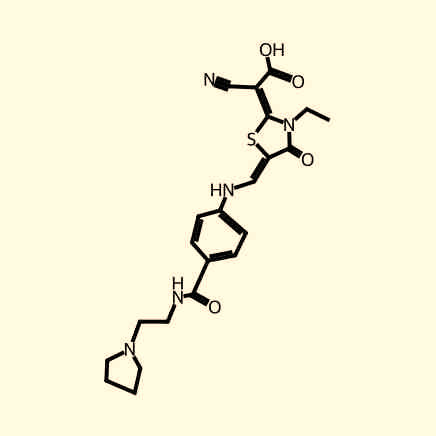 CCn1c(=C(C#N)C(=O)O)sc(=CNc2ccc(C(=O)NCCN3CCCC3)cc2)c1=O